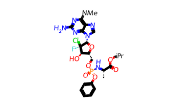 CNc1nc(N)nc2c1ncn2[C@@H]1O[C@H](CO[P@](=O)(N[C@@H](C)C(=O)OC(C)C)Oc2ccccc2)[C@@H](O)[C@@]1(F)Cl